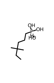 CCC(C)(C)CCC[PH](O)(O)O